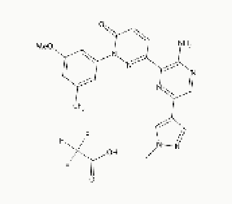 COc1cc(-n2nc(-c3nc(-c4cnn(C)c4)cnc3N)ccc2=O)cc(C(F)(F)F)c1.O=C(O)C(F)(F)F